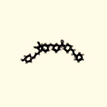 Cc1c(C)n(CCCN2CCN(C)CC2)c2ccc(Cc3cccc(C(=O)N4CCN(CCc5ccccc5)CC4)c3)cc12